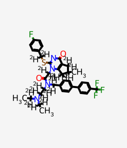 [2H]C([2H])(Sc1nc(=O)c2c(n1C([2H])([2H])C(=O)N(C([2H])([2H])c1ccc(-c3ccc(C(F)(F)F)cc3)cc1)C([2H])([2H])C([2H])([2H])N(C([2H])([2H])C)C([2H])([2H])C)C([2H])([2H])C([2H])(C)C2([2H])[2H])c1ccc(F)cc1